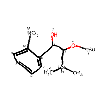 C[SiH](C)C(OC(C)(C)C)C(O)c1ccccc1[N+](=O)[O-]